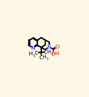 CC(C)(C)C12CC(Cc3cccnc31)CN(C(=O)O)C2